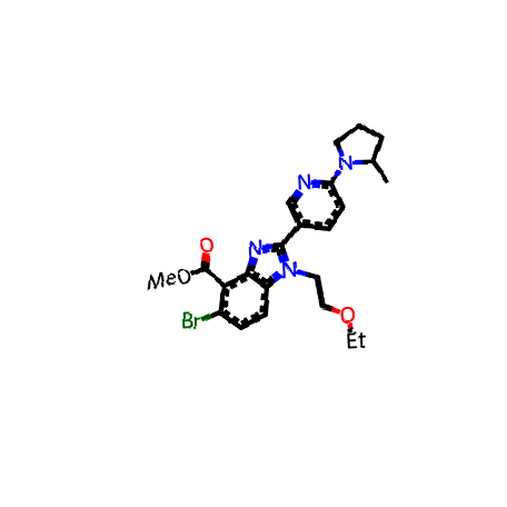 CCOCCn1c(-c2ccc(N3CCCC3C)nc2)nc2c(C(=O)OC)c(Br)ccc21